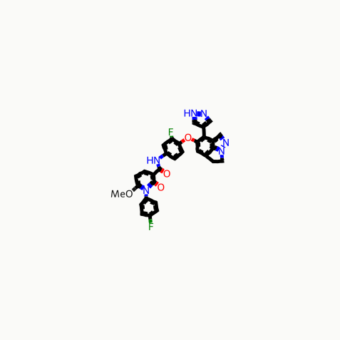 COc1ccc(C(=O)Nc2ccc(Oc3cc4c5c(cnn5CC4)c3-c3cn[nH]c3)c(F)c2)c(=O)n1-c1ccc(F)cc1